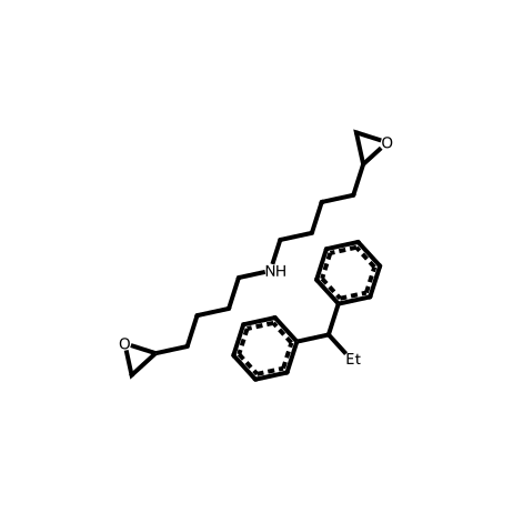 C(CCC1CO1)CNCCCCC1CO1.CCC(c1ccccc1)c1ccccc1